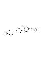 CC1CC(CCO)CCC1C1CCC(C2CCC(Cl)CC2)CC1